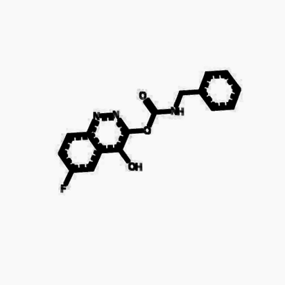 O=C(NCc1ccccc1)Oc1nnc2ccc(F)cc2c1O